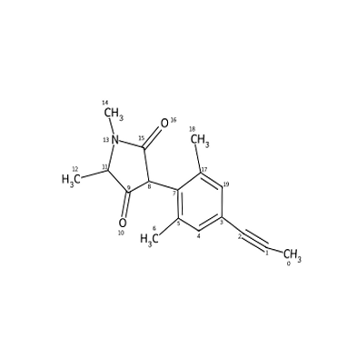 CC#Cc1cc(C)c(C2C(=O)C(C)N(C)C2=O)c(C)c1